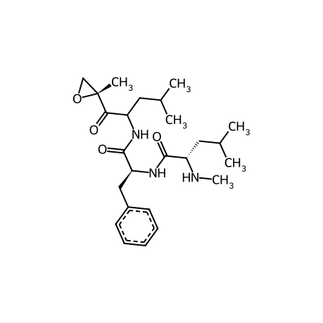 CN[C@@H](CC(C)C)C(=O)N[C@@H](Cc1ccccc1)C(=O)NC(CC(C)C)C(=O)[C@@]1(C)CO1